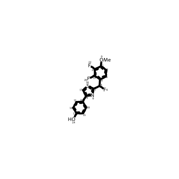 COc1ccc(C(F)c2nc(-c3ccc(O)cc3)cs2)c(F)c1F